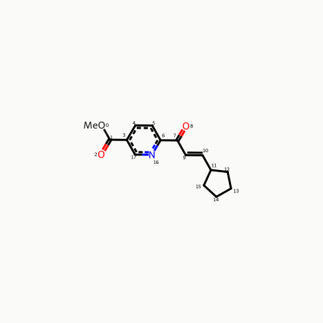 COC(=O)c1ccc(C(=O)C=CC2CCCC2)nc1